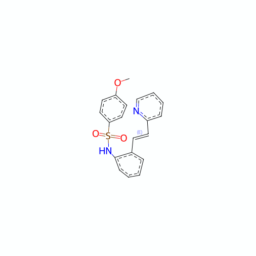 COc1ccc(S(=O)(=O)Nc2ccccc2/C=C/c2ccccn2)cc1